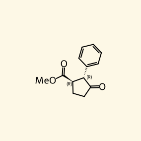 COC(=O)[C@@H]1CCC(=O)[C@H]1c1ccccc1